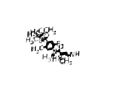 CN/C(=C\C=N)C(=O)N(C)c1cc(C)c(B2OC(C)(C)C(C)(C)O2)cc1F